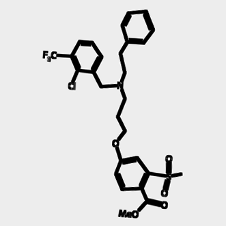 COC(=O)c1ccc(OCCCN(CCc2ccccc2)Cc2cccc(C(F)(F)F)c2Cl)cc1S(C)(=O)=O